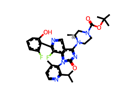 Cc1ccnc(C(C)C)c1-n1c(=O)nc(N2CCN(C(=O)OC(C)(C)C)C[C@@H]2C)c2cnc(-c3c(O)cccc3F)c(F)c21